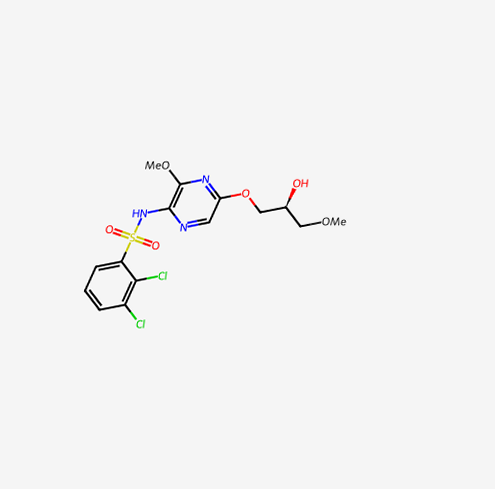 COC[C@H](O)COc1cnc(NS(=O)(=O)c2cccc(Cl)c2Cl)c(OC)n1